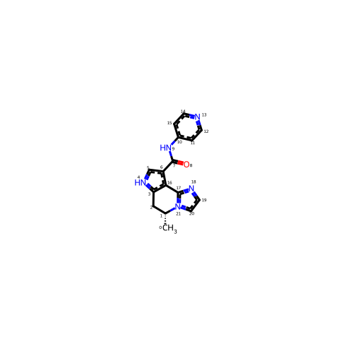 C[C@@H]1Cc2[nH]cc(C(=O)Nc3ccncc3)c2-c2nccn21